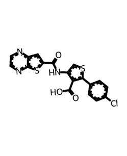 O=C(Nc1csc(-c2ccc(Cl)cc2)c1C(=O)O)c1cc2nccnc2s1